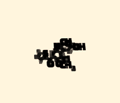 COC1=C(C(=O)c2cccs2)CC2=NC(C)=C(CC(=O)O)C2=C1Cl